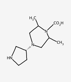 CC1CN([C@@H]2CCNC2)CC(C)N1C(=O)O